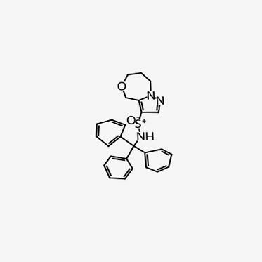 [O-][S+](NC(c1ccccc1)(c1ccccc1)c1ccccc1)c1cnn2c1COCCC2